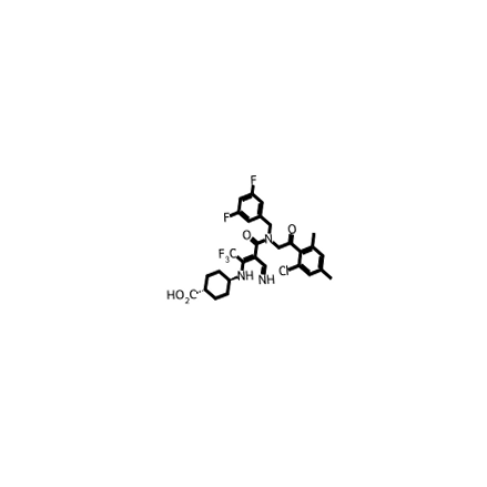 Cc1cc(C)c(C(=O)CN(Cc2cc(F)cc(F)c2)C(=O)/C(C=N)=C(/N[C@H]2CC[C@H](C(=O)O)CC2)C(F)(F)F)c(Cl)c1